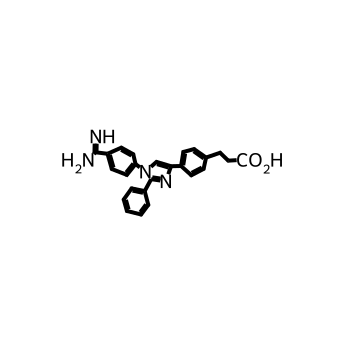 N=C(N)c1ccc(-n2cc(-c3ccc(CCC(=O)O)cc3)nc2-c2ccccc2)cc1